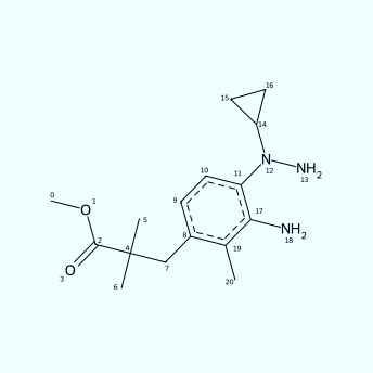 COC(=O)C(C)(C)Cc1ccc(N(N)C2CC2)c(N)c1C